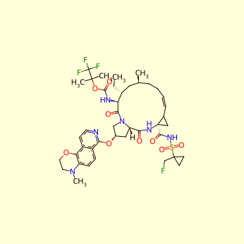 CC[C@@H]1C[C@@H](C)CC/C=C\C2C[C@@]2(C(=O)NS(=O)(=O)C2(CF)CC2)NC(=O)[C@@H]2C[C@@H](Oc3nccc4c5c(ccc34)N(C)CCO5)CN2C(=O)[C@H]1NC(=O)OC(C)(C)C(F)(F)F